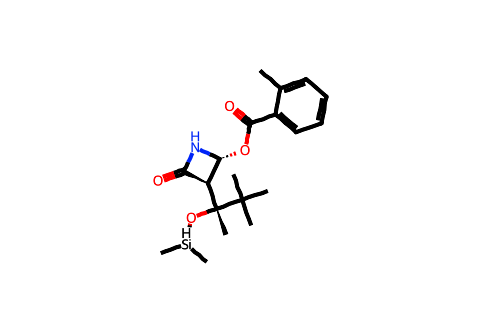 Cc1ccccc1C(=O)O[C@H]1NC(=O)[C@@H]1[C@@](C)(O[SiH](C)C)C(C)(C)C